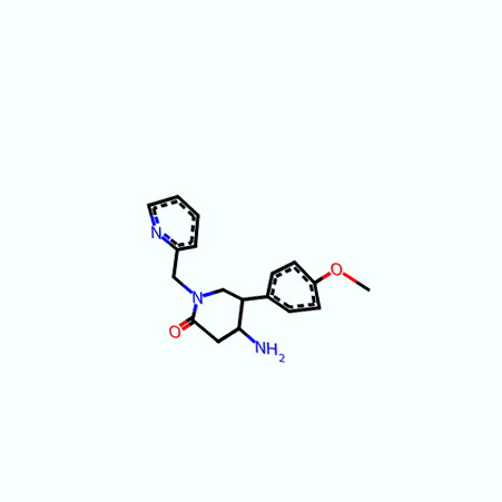 COc1ccc(C2CN(Cc3ccccn3)C(=O)CC2N)cc1